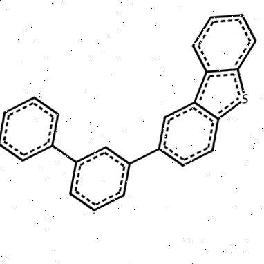 [c]1cc(-c2ccccc2)cc(-c2ccc3sc4ccccc4c3c2)c1